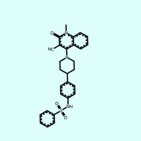 Cn1c(=O)c(C#N)c(N2CCC(c3ccc(NS(=O)(=O)c4ccccc4)cc3)CC2)c2ccccc21